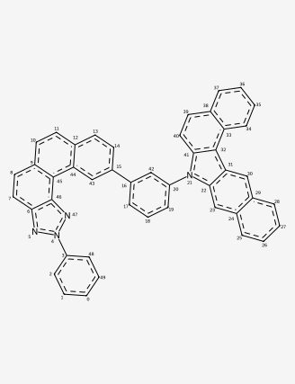 c1ccc(-n2nc3ccc4ccc5ccc(-c6cccc(-n7c8cc9ccccc9cc8c8c9ccccc9ccc87)c6)cc5c4c3n2)cc1